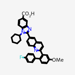 COc1ccc(-c2ccc(F)cc2)c(-c2ccc3cc(-c4nc5cc(C(=O)O)ccc5n4C4CCCCC4)ccc3n2)c1